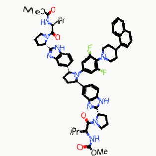 COC(=O)NC(C(=O)N1CCC[C@H]1c1nc2cc([C@H]3CC[C@H](c4ccc5[nH]c([C@@H]6CCCN6C(=O)[C@@H](NC(=O)OC)C(C)C)nc5c4)N3c3cc(F)c(N4CCC(c5cccc6ccccc56)CC4)c(F)c3)ccc2[nH]1)C(C)C